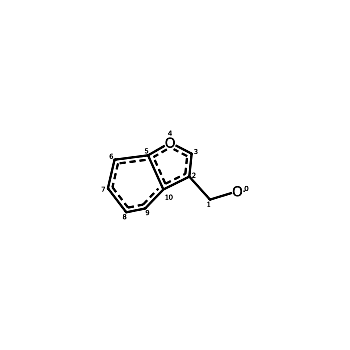 [O]Cc1coc2ccccc12